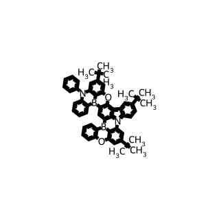 CC(C)(C)c1cc2c3c(c1)N(c1ccccc1)c1ccccc1B3c1cc3c4c(c1O2)c1cc(C(C)(C)C)ccc1n4-c1cc(C(C)(C)C)cc2c1B3c1ccccc1O2